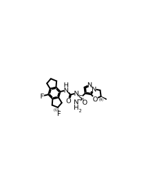 C[C@@H]1Cn2ncc([S@](N)(=O)=NC(=O)Nc3c4c(c(F)c5c3C[C@H](F)C5)CCC4)c2O1